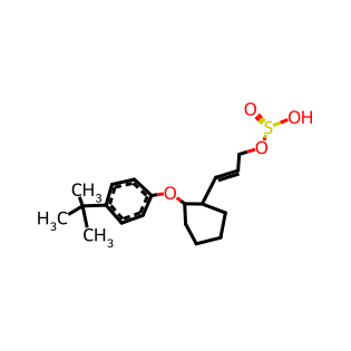 CC(C)(C)c1ccc(OC2CCCCC2C=CCOS(=O)O)cc1